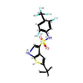 CC(C)(C)c1cc2c(S(=O)(=O)Nc3cc(F)c(C(F)(F)F)cc3F)c[nH]c2s1